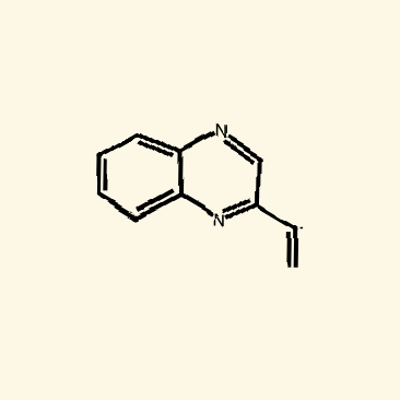 C=[C]c1cnc2ccccc2n1